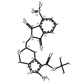 CC(C)(C)OC(=O)c1c(N)sc2c1CC(CN1C(=O)c3cccc([N+](=O)[O-])c3C1=O)OC2